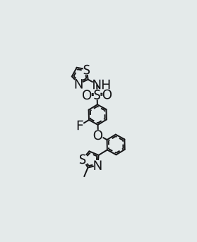 Cc1nc(-c2ccccc2Oc2ccc(S(=O)(=O)Nc3nccs3)cc2F)cs1